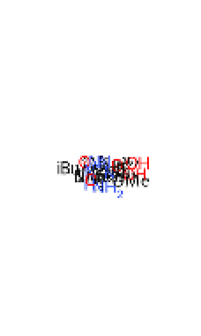 CCC(C)C(NC)C(=O)Nc1ncnc2c1c(C(N)=O)cn2[C@@H]1O[C@H](CO)C(O)[C@@H]1OC